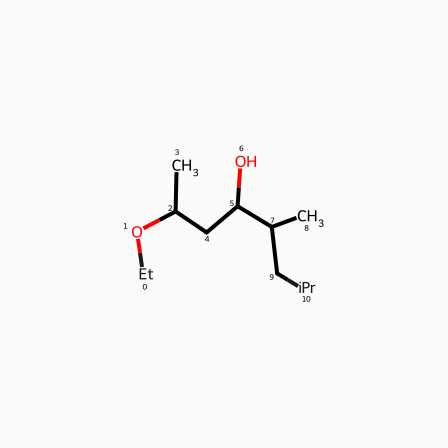 CCOC(C)CC(O)C(C)CC(C)C